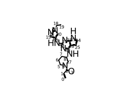 C=CC(=O)N1CCC[C@@H](Nc2nc(Nc3cnn(CC)c3)nc3[nH]ccc23)C1